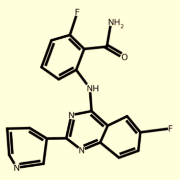 NC(=O)c1c(F)cccc1Nc1nc(-c2cccnc2)nc2ccc(F)cc12